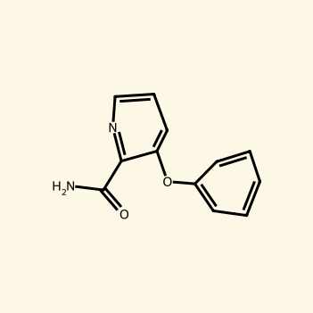 NC(=O)c1ncccc1Oc1ccccc1